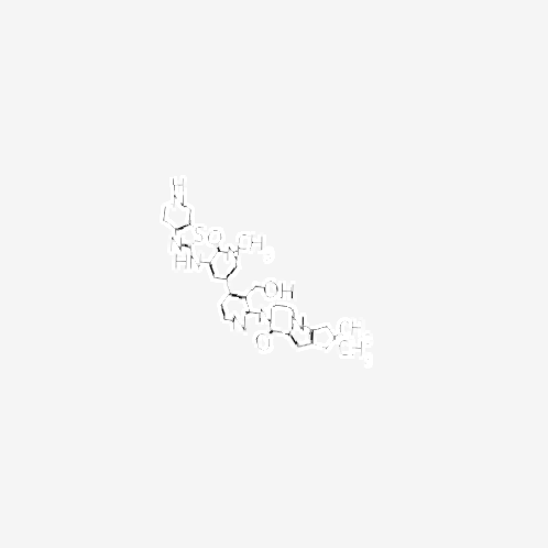 Cn1cc(-c2ccnc(N3CCn4c(cc5c4CC(C)(C)C5)C3=O)c2CO)cc(Nc2nc3c(s2)CNCC3)c1=O